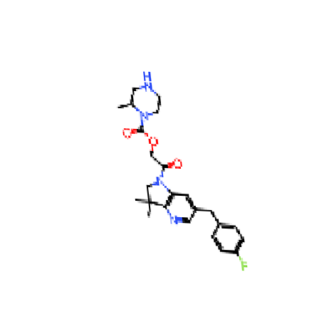 CC1CNCCN1C(=O)OCC(=O)N1CC(C)(C)c2ncc(Cc3ccc(F)cc3)cc21